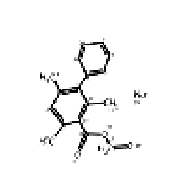 Cc1cc(C)c(-c2ccccc2)c(C)c1C(=O)O[PH2]=O.[Na]